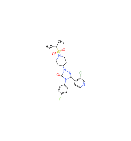 CC(C)S(=O)(=O)N1CCC(n2nc(-c3ccncc3Cl)n(-c3ccc(F)cc3)c2=O)CC1